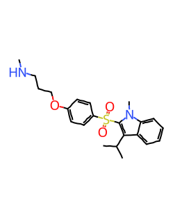 CNCCCOc1ccc(S(=O)(=O)c2c(C(C)C)c3ccccc3n2C)cc1